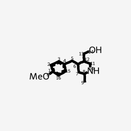 COc1ccc(CC2CC(C)NCC2CO)cc1